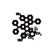 CC(C)(C)c1ccc(N2c3cc(N(c4ccccc4)c4ccccc4)cc4c3B(c3cc(-c5ccccc5)ccc3N4c3ccc(C(C)(C)C)cc3-c3ccccc3)c3oc4c(c32)C(C)(C)CCC4(C)C)cc1